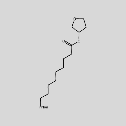 CCCCCCCCCCCCCCCCCC(=O)OC1CCOC1